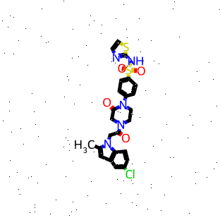 Cc1cc2cc(Cl)ccc2n1CC(=O)N1CCN(c2ccc(S(=O)(=O)Nc3nccs3)cc2)C(=O)C1